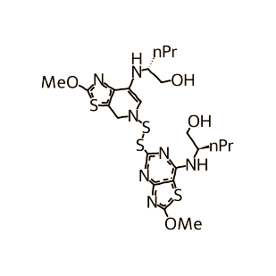 CCC[C@H](CO)NC1=CN(SSc2nc(N[C@@H](CO)CCC)c3sc(OC)nc3n2)Cc2sc(OC)nc21